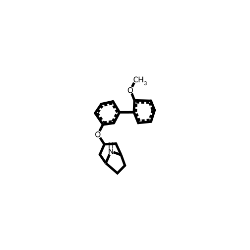 COc1ccccc1-c1cccc(OC2CC3CCC(C2)N3)c1